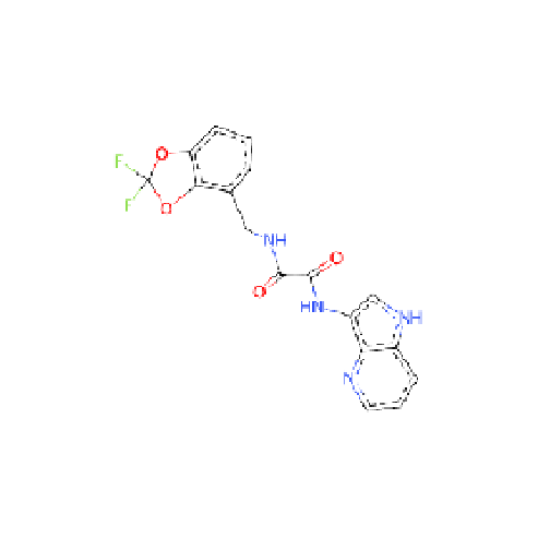 O=C(NCc1cccc2c1OC(F)(F)O2)C(=O)Nc1c[nH]c2cccnc12